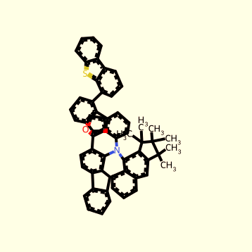 CC1(C)c2cc3ccccc3c(N(c3cccc4c3Cc3cccc(-c5cccc6c5sc5ccccc56)c3-4)c3c(-c4ccco4)ccc4c3Cc3ccccc3-4)c2C(C)(C)C1(C)C